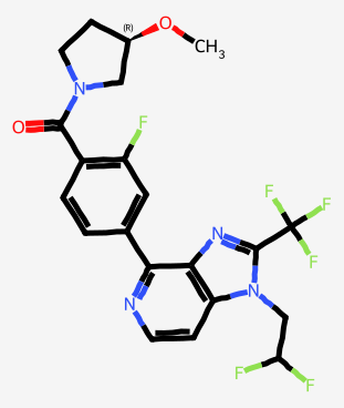 CO[C@@H]1CCN(C(=O)c2ccc(-c3nccc4c3nc(C(F)(F)F)n4CC(F)F)cc2F)C1